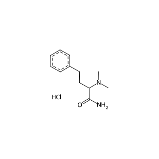 CN(C)C(CCc1ccccc1)C(N)=O.Cl